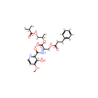 COc1ccnc(C(=O)NC(COC(=O)CCc2ccccc2)C(=O)OC(C)COC(=O)C(C)C)c1O